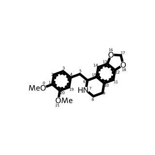 COc1ccc(CC2NCCc3cc4c(cc32)OCO4)cc1OC